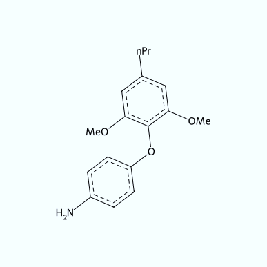 CCCc1cc(OC)c(Oc2ccc(N)cc2)c(OC)c1